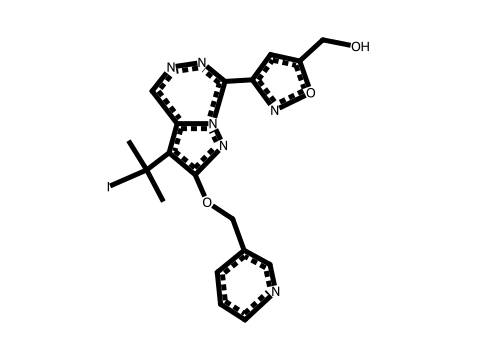 CC(C)(I)c1c(OCc2cccnc2)nn2c(-c3cc(CO)on3)nncc12